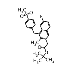 Cc1c(CC(=O)OC(C)(C)C)cc2ccc(F)cc2c1Cc1ccc(S(C)(=O)=O)cc1